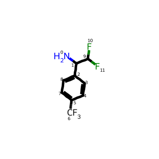 NC(c1ccc(C(F)(F)F)cc1)C(F)F